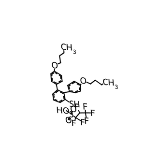 CCCCOc1ccc(-c2cccc(S)c2-c2ccc(OCCCC)cc2)cc1.O=S(=O)(O)C(F)(F)C(F)C(F)(F)F